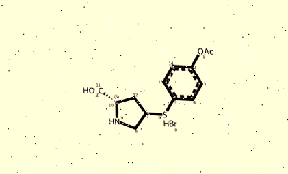 Br.CC(=O)Oc1ccc(SC2CN[C@H](C(=O)O)C2)cc1